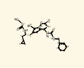 CC(C)(C)OC(=O)N[C@H](Cc1cc2c(NC(=O)OCc3ccccc3)nc(Cl)nn2c1Br)CC1CC1